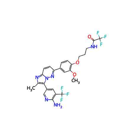 COc1cc(-c2ccc3nc(C)c(-c4cnc(N)c(C(F)(F)F)c4)n3n2)ccc1OCCCNC(=O)C(F)(F)F